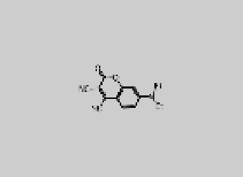 CCN(CC)c1ccc2c(C#N)c(C#N)c(=O)oc2c1